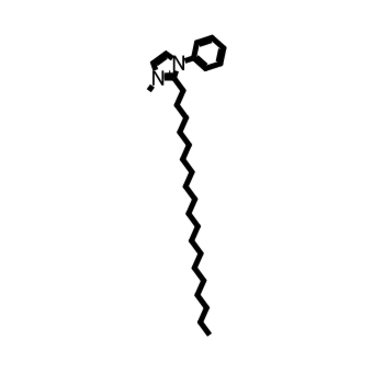 CCCCCCCCCCCCCCCCCCCc1n(-c2ccccc2)cc[n+]1C